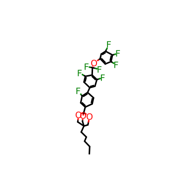 CCCCCC12COC(c3ccc(-c4cc(F)c(C(F)(F)Oc5cc(F)c(F)c(F)c5)c(F)c4)c(F)c3)(OC1)OC2